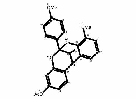 COc1ccc(C23Oc4cc(OC(C)=O)ccc4C(c4cccc(OC)c4O2)C3C)cc1